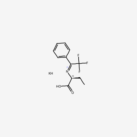 CC[C@H](/N=C(/c1ccccc1)C(F)(F)F)C(=O)O.[KH]